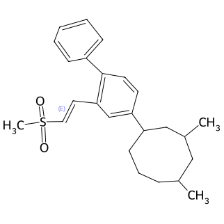 CC1CCCC(c2ccc(-c3ccccc3)c(/C=C/S(C)(=O)=O)c2)CC(C)C1